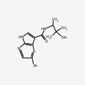 CC(C)c1cnc2[nH]cc(C(=O)NC(C)C(C)(C)O)c2n1